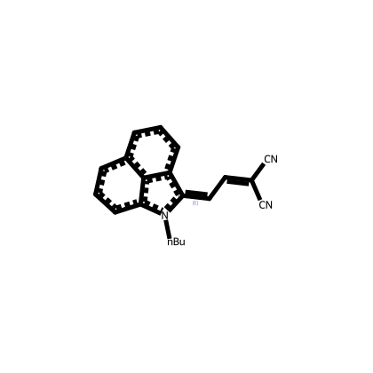 CCCCn1/c(=C/C=C(C#N)C#N)c2cccc3cccc1c32